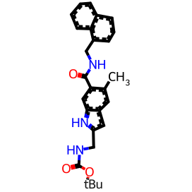 Cc1cc2cc(CNC(=O)OC(C)(C)C)[nH]c2cc1C(=O)NCc1cccc2ccccc12